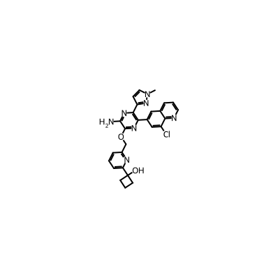 Cn1ccc(-c2nc(N)c(OCc3cccc(C4(O)CCC4)n3)nc2-c2cc(Cl)c3ncccc3c2)n1